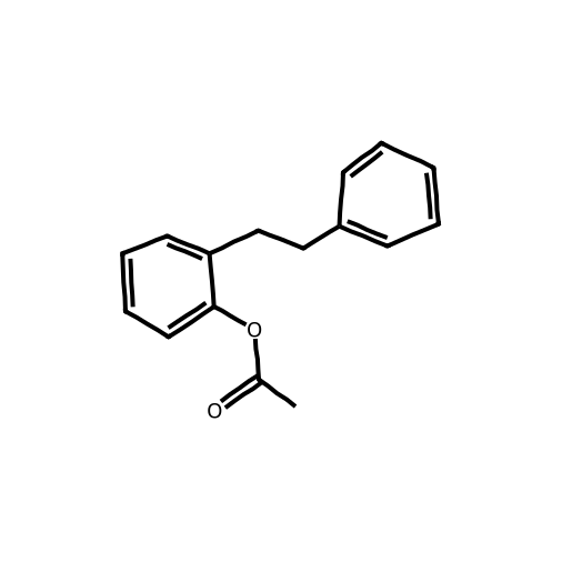 CC(=O)Oc1ccccc1CCc1ccccc1